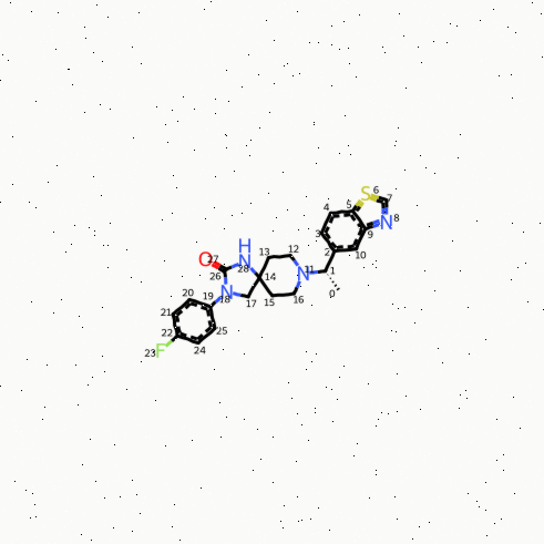 C[C@@H](c1ccc2scnc2c1)N1CCC2(CC1)CN(c1ccc(F)cc1)C(=O)N2